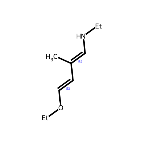 CCN/C=C(C)/C=C/OCC